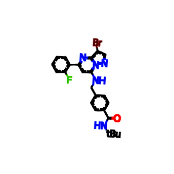 CC(C)(C)NC(=O)c1ccc(CNc2cc(-c3ccccc3F)nc3c(Br)cnn23)cc1